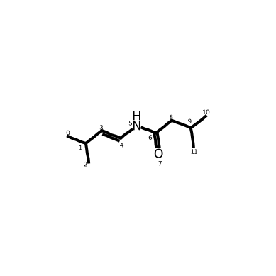 CC(C)/C=C/NC(=O)CC(C)C